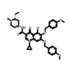 CC[C@@H]1C[C@H](NC(=O)c2cn(C3CC3)c3cc(OCc4ccc(OC)cc4)c(OCc4ccc(OC)cc4)c(Cl)c3c2=O)CCN1C